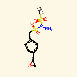 NN(S(=O)(=O)Cc1ccc(C2CO2)cc1)S(=O)(=O)C(F)(F)F